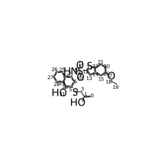 C=C(O)CSc1cc(NS(=O)(=O)c2cc3cc(OCC)ccc3s2)c2ccccc2c1O